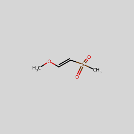 COC=CS(C)(=O)=O